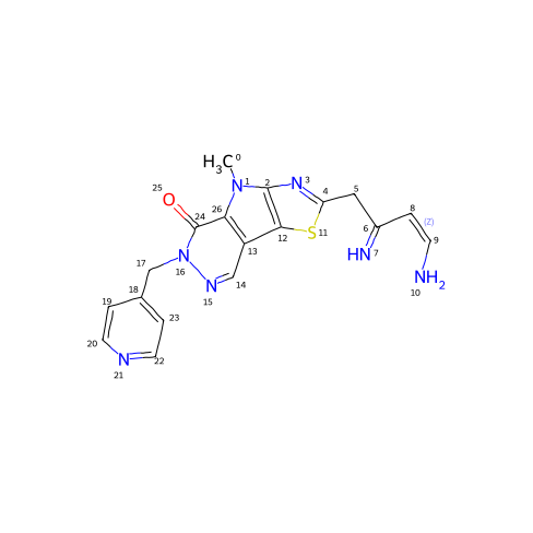 Cn1c2nc(CC(=N)/C=C\N)sc2c2cnn(Cc3ccncc3)c(=O)c21